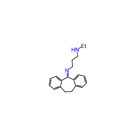 CCNCCCN=C1c2ccccc2CCc2ccccc21